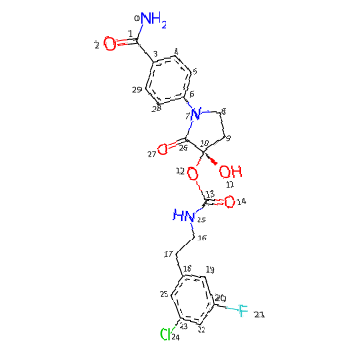 NC(=O)c1ccc(N2CC[C@](O)(OC(=O)NCCc3cc(F)cc(Cl)c3)C2=O)cc1